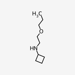 CCCOCCNC1CCC1